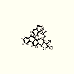 FC(F)(F)c1nccc2ccccc12.O=C(C(Cl)Cl)C1CCc2c(ccc3c2ccc2ccccc23)C1